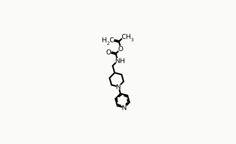 C=C(C)OC(=O)NCC1CCN(c2ccncc2)CC1